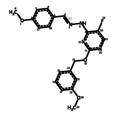 COc1ccc(/C=N/Nc2nc(OCc3cccc(OC)c3)ncc2F)cc1